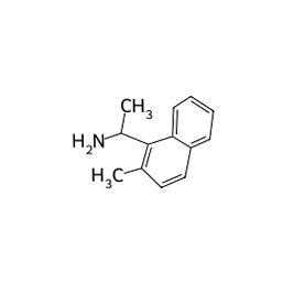 Cc1ccc2ccccc2c1C(C)N